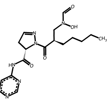 CCCCC[C@H](CN(O)C=O)C(=O)N1N=CC[C@H]1C(=O)Nc1ccncn1